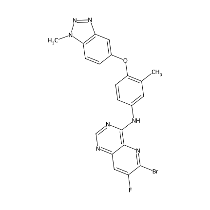 Cc1cc(Nc2ncnc3cc(F)c(Br)nc23)ccc1Oc1ccc2c(c1)nnn2C